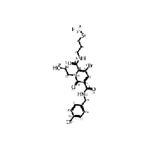 CSCCCNC(=O)c1c(Br)cc(C(=O)NCc2ccc(Cl)cc2)c(=O)n1CCO